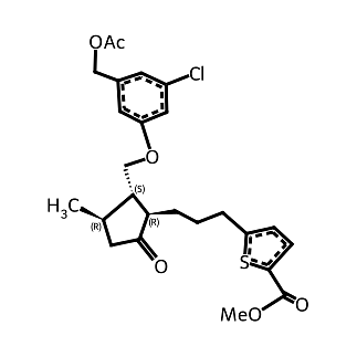 COC(=O)c1ccc(CCC[C@H]2C(=O)C[C@@H](C)[C@@H]2COc2cc(Cl)cc(COC(C)=O)c2)s1